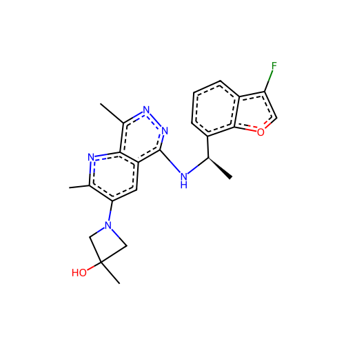 Cc1nc2c(C)nnc(N[C@H](C)c3cccc4c(F)coc34)c2cc1N1CC(C)(O)C1